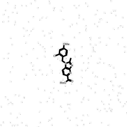 COC(=O)c1ccc2c(n1)nc(C)n2Cc1ccc(OC)cc1Cl